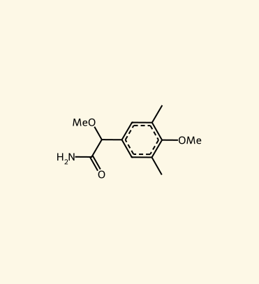 COc1c(C)cc(C(OC)C(N)=O)cc1C